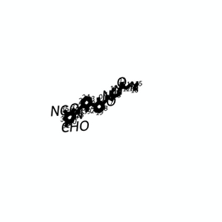 Cc1c(-c2nc3c(o2)CN(C(=O)CCN(C)C)C3)cccc1-c1cccc(-c2nc3cc(C=O)cc(C#N)c3o2)c1C